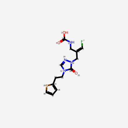 O=C(O)NC/C(=C\F)Cn1ncn(CCc2cccs2)c1=O